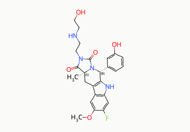 COc1cc2c3c([nH]c2cc1F)[C@@H](c1cccc(O)c1)N1C(=O)N(CCNCCO)C(=O)[C@]1(C)C3